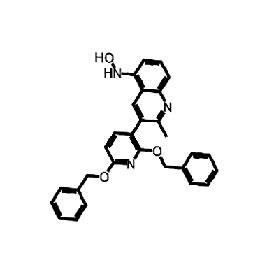 Cc1nc2cccc(NO)c2cc1-c1ccc(OCc2ccccc2)nc1OCc1ccccc1